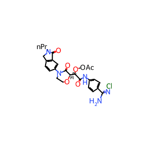 CCCN1Cc2ccc(N3CCO[C@H]([C@@H](OOC(C)=O)C(=O)Nc4ccc(/C(N)=N\Cl)cc4)C3=O)cc2C1=O